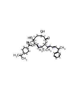 C/C(=C\C=C\[C@@H](C)c1ccccn1)[C@@H]1OC(=O)C[C@@H](O)CC[C@@](C)(O)[C@H](OC(=O)N2CCN(C(C)C)CC2)/C=C/[C@H]1C